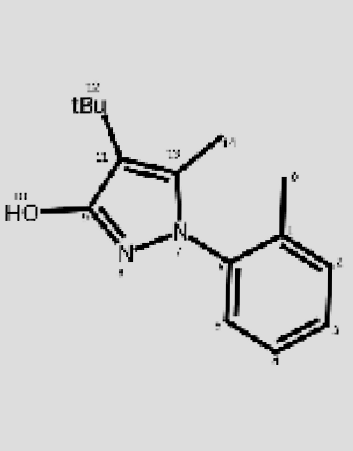 Cc1ccccc1-n1nc(O)c(C(C)(C)C)c1C